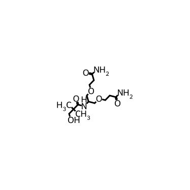 CC(C)(CO)C(=O)NC(COCCC(N)=O)COCCC(N)=O